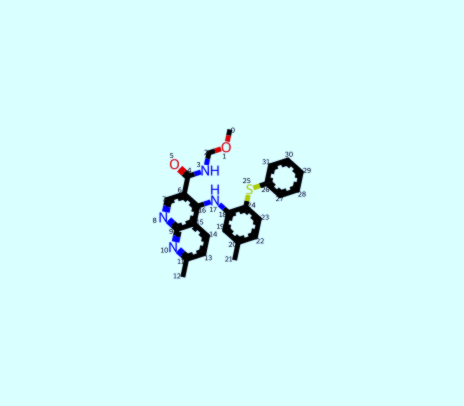 COCNC(=O)c1cnc2nc(C)ccc2c1Nc1cc(C)ccc1Sc1ccccc1